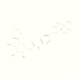 COC(=O)C1OC(OC(=O)Nc2ccc(CO[Si](C)(C)C(C)(C)C)cc2)C(O)C(O)C1O